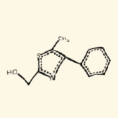 Cc1sc(CO)nc1-c1ccccc1